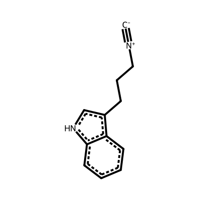 [C-]#[N+]CCCc1c[nH]c2ccccc12